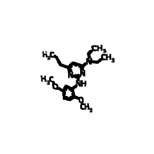 CCCc1cc(N(CC)CC)nc(Nc2cc(OC)ccc2OC)n1